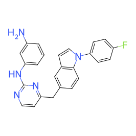 Nc1cccc(Nc2nccc(Cc3ccc4c(ccn4-c4ccc(F)cc4)c3)n2)c1